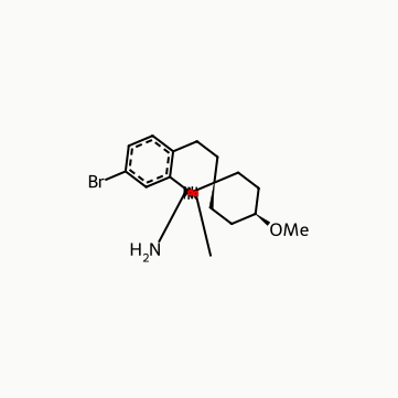 CO[C@H]1CC[C@@]2(CCc3ccc(Br)cc3C23N=C(C)C(N)=N3)CC1